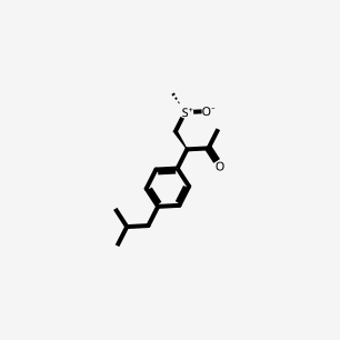 CC(=O)[C@H](C[S@+](C)[O-])c1ccc(CC(C)C)cc1